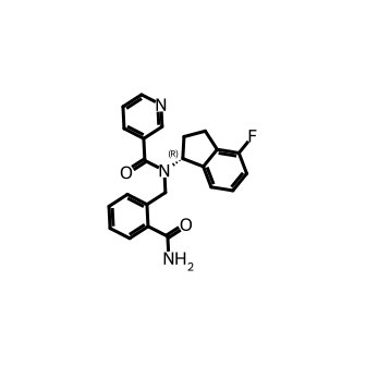 NC(=O)c1ccccc1CN(C(=O)c1cccnc1)[C@@H]1CCc2c(F)cccc21